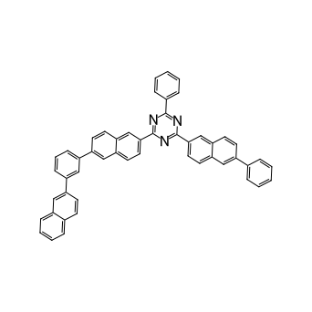 c1ccc(-c2ccc3cc(-c4nc(-c5ccccc5)nc(-c5ccc6cc(-c7cccc(-c8ccc9ccccc9c8)c7)ccc6c5)n4)ccc3c2)cc1